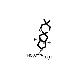 CC1(C)COC2(C[C@H]3C[C@H](N(C(=O)O)C(=O)O)C[C@H]3C2)OC1